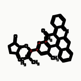 Cc1cc(C(=O)ON2C(=O)CCC2=O)cc(C)c1-c1c2ccccc2cc2nc3ccccc3c(C(=O)OOCCN(C)C)c12